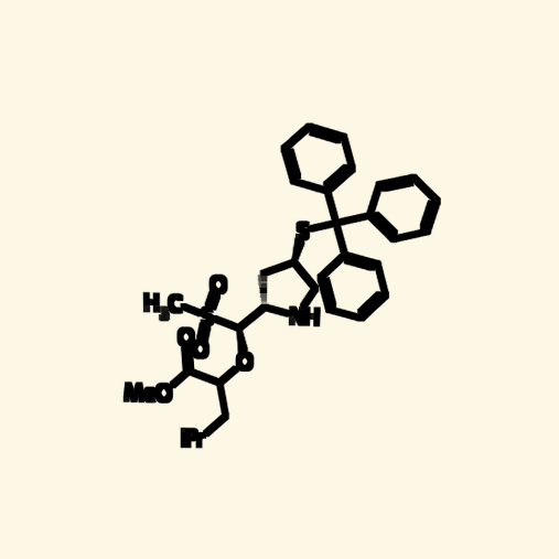 COC(=O)C(CC(C)C)O[C@H]([C@@H]1C[C@@H](SC(c2ccccc2)(c2ccccc2)c2ccccc2)CN1)S(C)(=O)=O